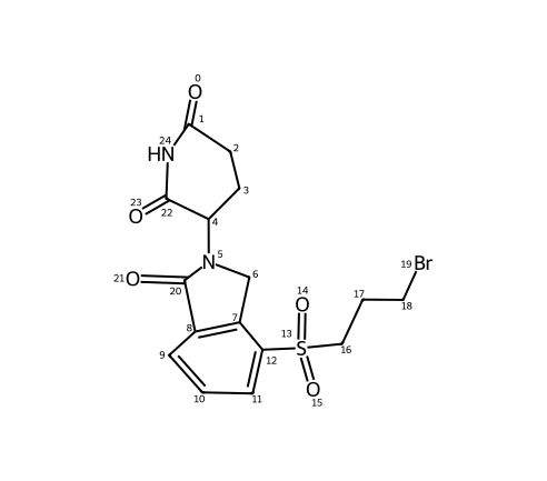 O=C1CCC(N2Cc3c(cccc3S(=O)(=O)CCCBr)C2=O)C(=O)N1